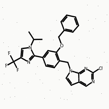 CC(C)n1cc(C(F)(F)F)nc1-c1ccc(Cn2ccc3cnc(Cl)nc32)c(OCc2ccccc2)c1